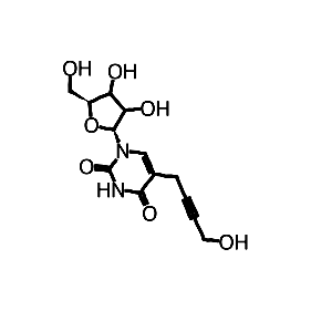 O=c1[nH]c(=O)n([C@H]2O[C@@H](CO)C(O)C2O)cc1CC#CCO